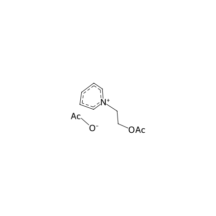 CC(=O)OCC[n+]1ccccc1.CC(=O)[O-]